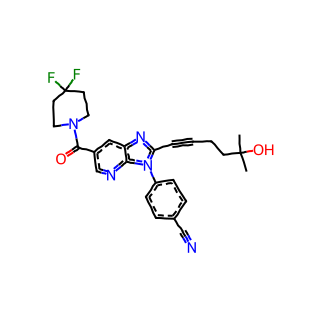 CC(C)(O)CCC#Cc1nc2cc(C(=O)N3CCC(F)(F)CC3)cnc2n1-c1ccc(C#N)cc1